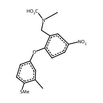 CSc1ccc(Oc2ccc([N+](=O)[O-])cc2CN(C)C(=O)O)cc1C